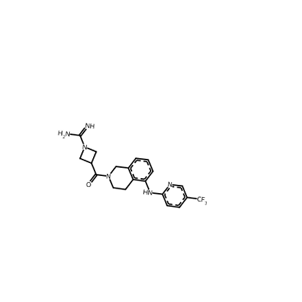 N=C(N)N1CC(C(=O)N2CCc3c(cccc3Nc3ccc(C(F)(F)F)cn3)C2)C1